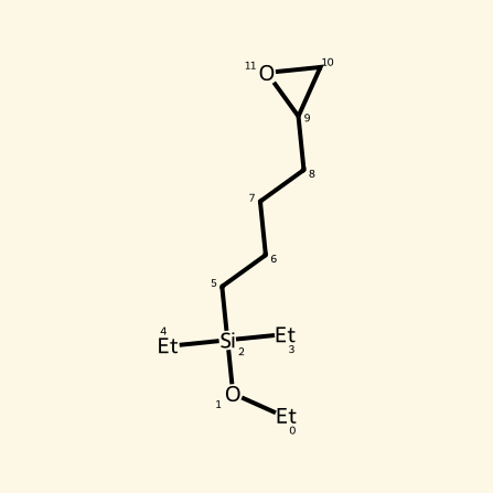 CCO[Si](CC)(CC)CCCCC1CO1